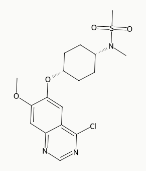 COc1cc2ncnc(Cl)c2cc1O[C@H]1CC[C@@H](N(C)S(C)(=O)=O)CC1